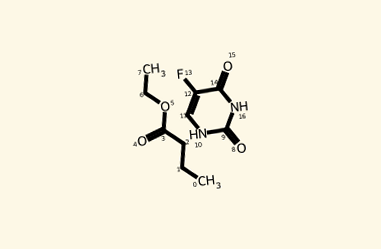 CCCC(=O)OCC.O=c1[nH]cc(F)c(=O)[nH]1